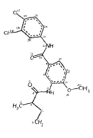 CCC(C)C(=O)Nc1cc(C(=O)Nc2ccc(Cl)c(Cl)c2)ccc1OC